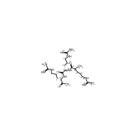 CC(=O)[C@H](CCCNC(=N)N)NC(=O)[C@H](CCCNC(=N)N)NC(=O)[C@@H](C)CCCNC(=N)N